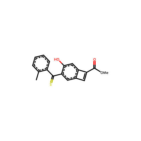 COC(=O)C1=Cc2cc(C(=S)c3ccccc3C)c(O)cc21